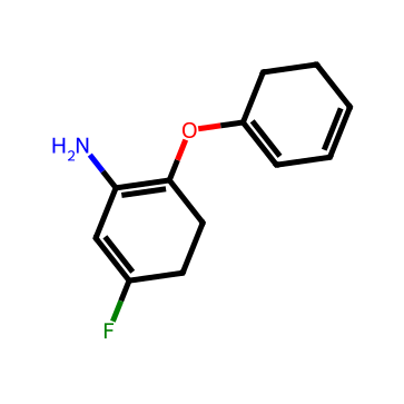 NC1=C(OC2=CC=CCC2)CCC(F)=C1